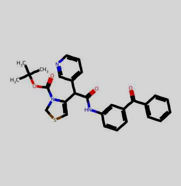 CC(C)(C)OC(=O)N1CSC=C1C(C(=O)Nc1cccc(C(=O)c2ccccc2)c1)c1cccnc1